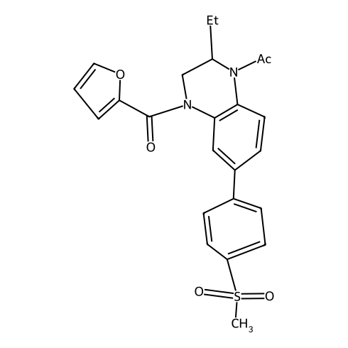 CCC1CN(C(=O)c2ccco2)c2cc(-c3ccc(S(C)(=O)=O)cc3)ccc2N1C(C)=O